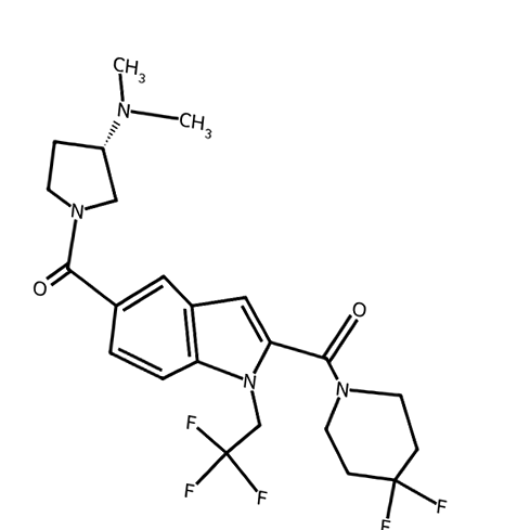 CN(C)[C@H]1CCN(C(=O)c2ccc3c(c2)cc(C(=O)N2CCC(F)(F)CC2)n3CC(F)(F)F)C1